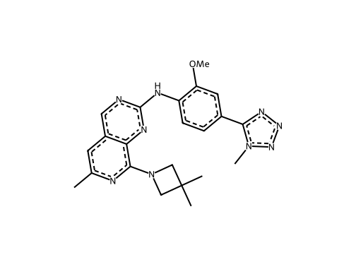 COc1cc(-c2nnnn2C)ccc1Nc1ncc2cc(C)nc(N3CC(C)(C)C3)c2n1